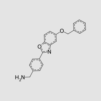 NCc1ccc(-c2nc3cc(OCc4ccccc4)ccc3o2)cc1